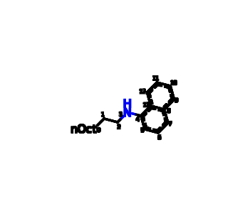 CCCCCCCCCCNc1cccc2ccccc12